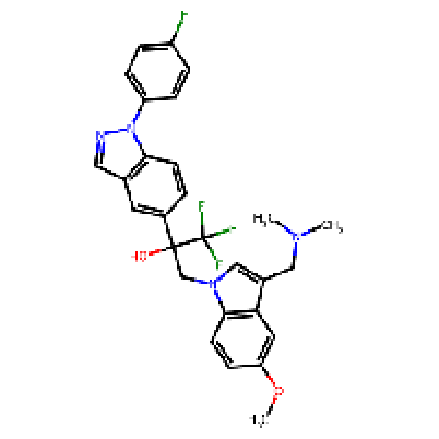 COc1ccc2c(c1)c(CN(C)C)cn2CC(O)(c1ccc2c(cnn2-c2ccc(F)cc2)c1)C(F)(F)F